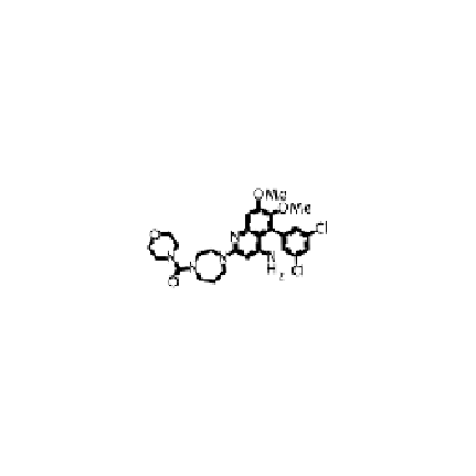 COc1cc2nc(N3CCCN(C(=O)N4CCOCC4)CC3)cc(N)c2c(-c2cc(Cl)cc(Cl)c2)c1OC